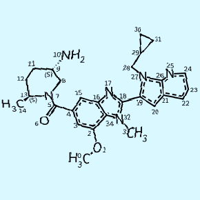 COc1cc(C(=O)N2C[C@@H](N)CC[C@@H]2C)cc2nc(-c3cc4cccnc4n3CC3CC3)n(C)c12